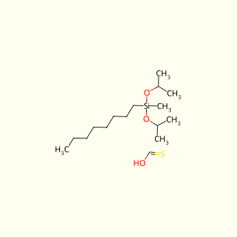 CCCCCCCC[Si](C)(OC(C)C)OC(C)C.OC=S